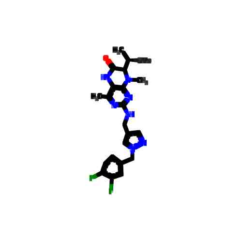 CO[C@H](C)C1C(=O)Nc2c(C)nc(NCc3cnn(Cc4ccc(F)c(F)c4)c3)nc2N1C